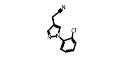 N#CCc1cnn(-c2ccccc2Cl)c1